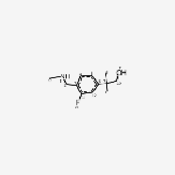 CNCc1ccc(C(C)(C)CO)cc1F